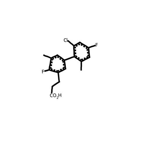 Cc1cc(-c2c(C)cc(F)cc2Cl)cc(CCC(=O)O)c1F